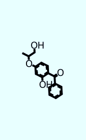 CC(CO)Oc1ccc(C(=O)c2ccccc2)c(O)c1